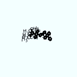 CC(C)(C)c1cc(-c2c3ccccc3c(-c3ccc4sc5c(-c6c7ccccc7c(C7=CC=CCC7)c7ccccc67)cccc5c4c3)c3ccccc23)cc(C(C)(C)C)c1